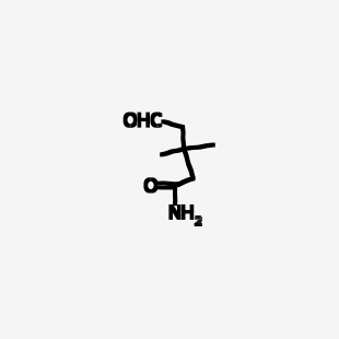 CC(C)(CC=O)CC(N)=O